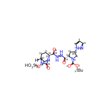 CC(C)(C)OC(=O)N1C[C@H](n2cccn2)C[C@H]1C(=O)NNC(=O)[C@@H]1CC[C@@H]2CN1C(=O)N2OS(=O)(=O)O